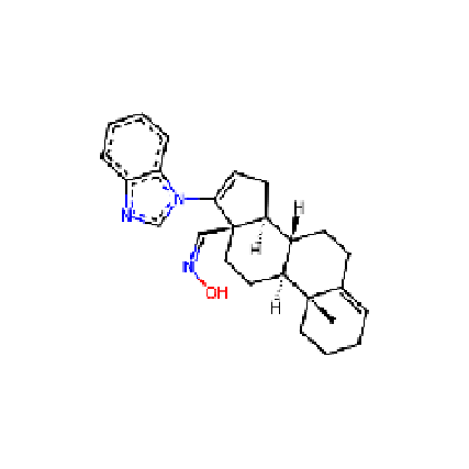 C[C@]12CCCC=C1CC[C@@H]1[C@@H]2CC[C@]2(/C=N\O)C(n3cnc4ccccc43)=CC[C@@H]12